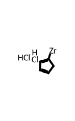 Cl.Cl.[Zr][C]1=CC=CC1